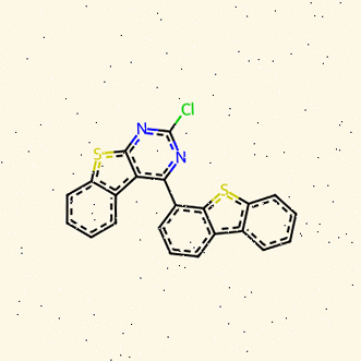 Clc1nc(-c2cccc3c2sc2ccccc23)c2c(n1)sc1ccccc12